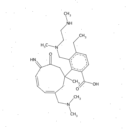 CCc1ccc(C(=O)O)c(C2(C)CC(=O)C(=N)/C=C\C=C(\CN(C)C)C2)c1CN(C)CCNC